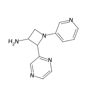 NC1CN(c2cccnc2)C1c1cnccn1